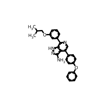 CC(C)COc1cccc(-c2ncc(-c3ccc(Oc4ccccc4)cc3)c3c(N)n[nH]c23)c1